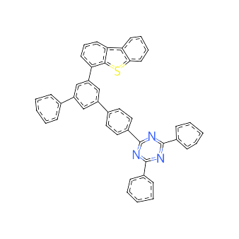 c1ccc(-c2cc(-c3ccc(-c4nc(-c5ccccc5)nc(-c5ccccc5)n4)cc3)cc(-c3cccc4c3sc3ccccc34)c2)cc1